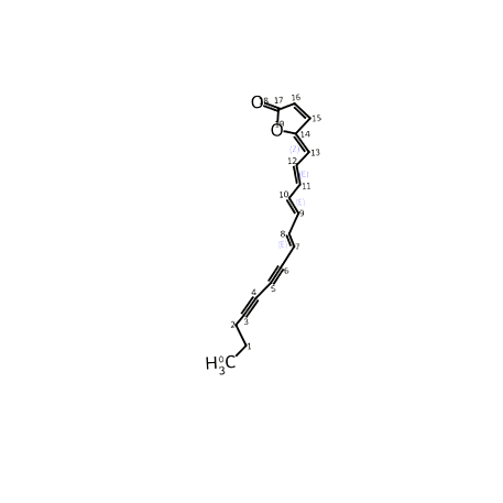 CCCC#CC#C/C=C/C=C/C=C/C=C1/C=CC(=O)O1